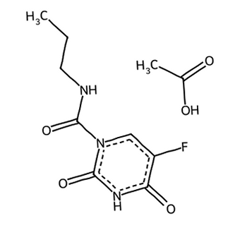 CC(=O)O.CCCNC(=O)n1cc(F)c(=O)[nH]c1=O